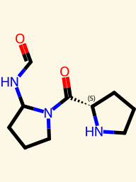 O=CNC1CCCN1C(=O)[C@@H]1CCCN1